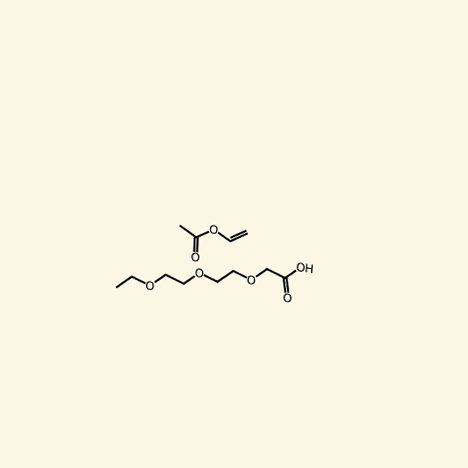 C=COC(C)=O.CCOCCOCCOCC(=O)O